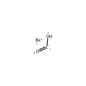 O=[C-]O.[Ba+]